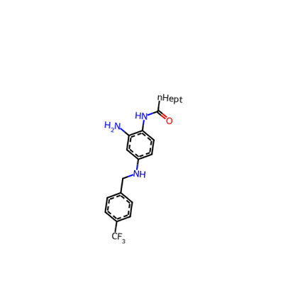 CCCCCCCC(=O)Nc1ccc(NCc2ccc(C(F)(F)F)cc2)cc1N